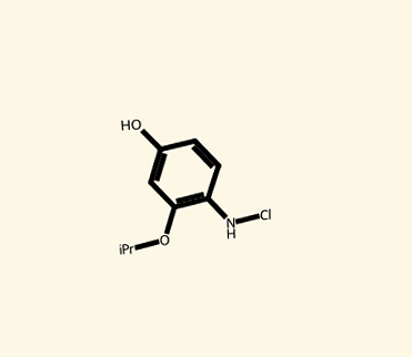 CC(C)Oc1cc(O)ccc1NCl